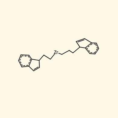 C1=CC(CC[CH2][Zr][CH2]CC2C=Cc3ccccc32)c2ccccc21